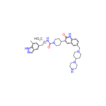 Cc1cc(C[C@@H](NC(=O)N2CCC(c3cc4cc(CN5CCC(N6CCNCC6)CC5)ccc4[nH]c3=O)CC2)C(=O)O)cc2cn[nH]c12